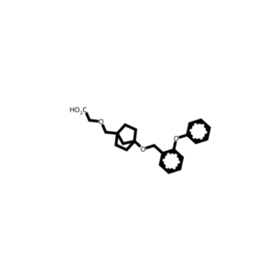 O=C(O)COCC12CCC(OCc3ccccc3Oc3ccccc3)(CC1)C2